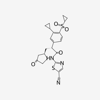 N#Cc1cnc(NC(=O)[C@H](C[C@H]2CCC(=O)C2)c2ccc(S(=O)(=O)C3CC3)c(C3CC3)c2)s1